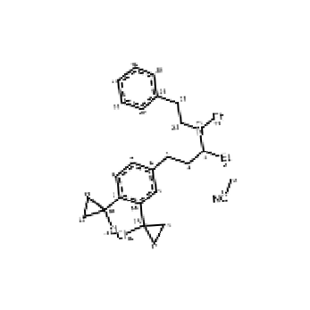 CC#N.CCC(CCc1ccc(C2(Cl)CC2)c(C2(Cl)CC2)c1)N(CC)CCc1ccccc1